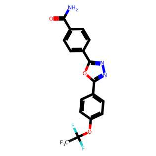 NC(=O)c1ccc(-c2nnc(-c3ccc(OC(F)(F)C(F)(F)F)cc3)o2)cc1